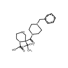 CC(C)(C)[C@]1(C(=O)N2CCN(Cc3ccccc3)CC2)CNCCN1C(=O)O